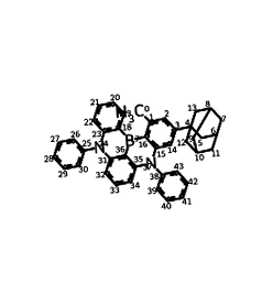 Cc1cc(C23CC4CC(CC(C4)C2)C3)cc2c1B1c3ccccc3N(c3ccccc3)c3cccc(c31)N2c1ccccc1